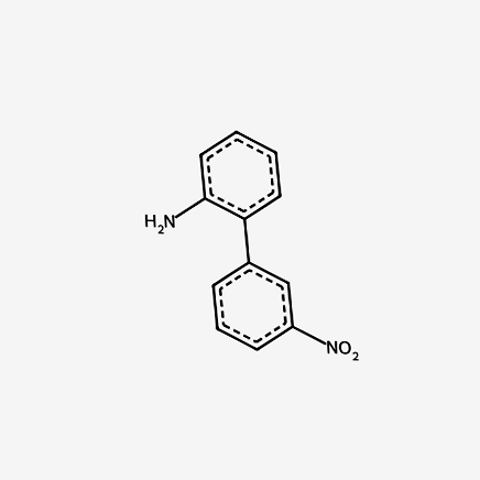 Nc1ccccc1-c1cccc([N+](=O)[O-])c1